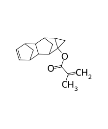 C=C(C)C(=O)OC12CC1C1CC2C2C3C=CC(C3)C12